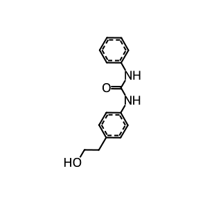 O=C(Nc1ccccc1)Nc1ccc(CCO)cc1